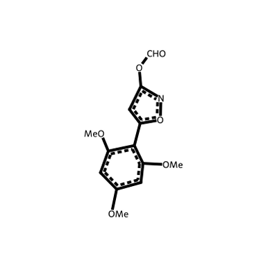 COc1cc(OC)c(-c2cc(OC=O)no2)c(OC)c1